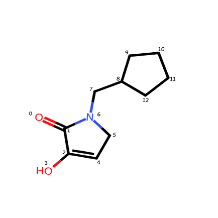 O=C1C(O)=CCN1CC1CCCC1